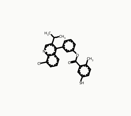 Cc1ccc(S)cc1C(=O)Oc1cccc(-c2c(C(C)C)cnc3c(Cl)cccc23)c1